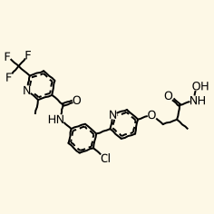 Cc1nc(C(F)(F)F)ccc1C(=O)Nc1ccc(Cl)c(-c2ccc(OCC(C)C(=O)NO)cn2)c1